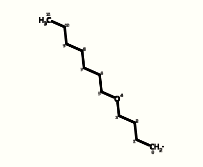 [CH2]CCCOCCCCCCC